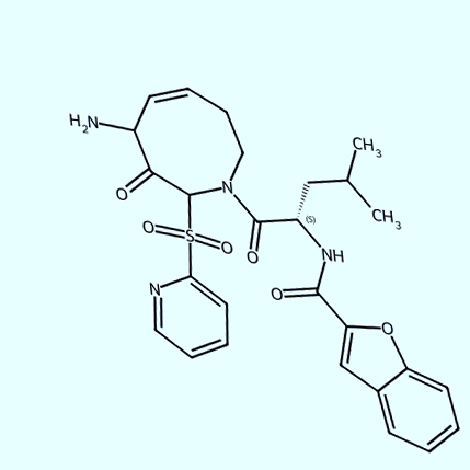 CC(C)C[C@H](NC(=O)c1cc2ccccc2o1)C(=O)N1CCC=CC(N)C(=O)C1S(=O)(=O)c1ccccn1